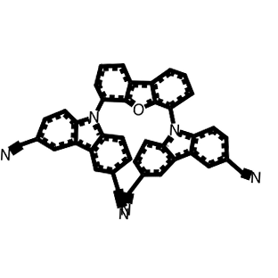 N#Cc1ccc2c(c1)c1cc(C#N)ccc1n2-c1cccc2c1oc1c(-n3c4ccc(C#N)cc4c4cc(C#N)ccc43)cccc12